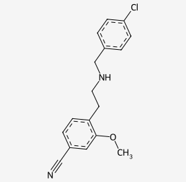 COc1cc(C#N)ccc1CCNCc1ccc(Cl)cc1